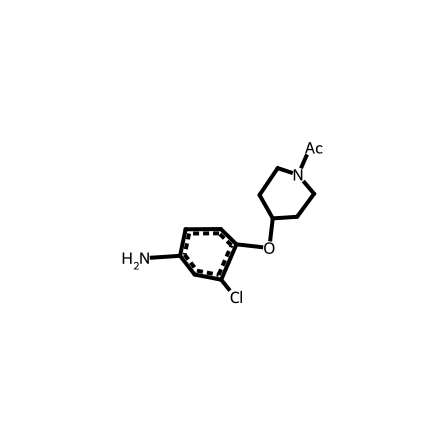 CC(=O)N1CCC(Oc2ccc(N)cc2Cl)CC1